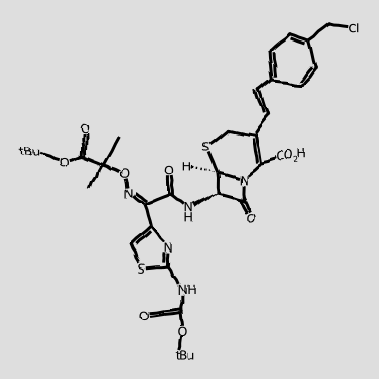 CC(C)(C)OC(=O)Nc1nc(/C(=N/OC(C)(C)C(=O)OC(C)(C)C)C(=O)N[C@@H]2C(=O)N3C(C(=O)O)=C(/C=C/c4ccc(CCl)cc4)CS[C@H]23)cs1